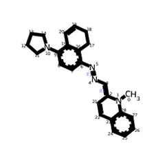 CN1/C(=C/N=N/c2ccc(N3CCCC3)c3c2CCC=C3)C=Cc2ccccc21